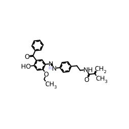 C=C(C)C(=O)NCCc1ccc(/N=N/c2cc(C(=O)c3ccccc3)c(O)cc2OCC)cc1